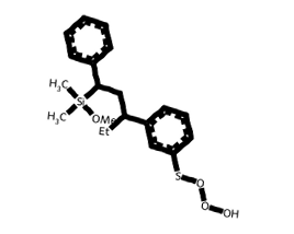 CCC(CC(c1ccccc1)[Si](C)(C)OC)c1cccc(SOOO)c1